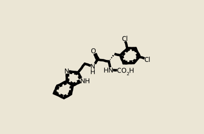 O=C(O)N[C@@H](Cc1ccc(Cl)cc1Cl)C(=O)NCc1nc2ccccc2[nH]1